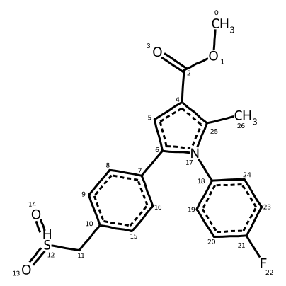 COC(=O)c1cc(-c2ccc(C[SH](=O)=O)cc2)n(-c2ccc(F)cc2)c1C